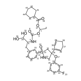 CC(OC(=O)NC(Cc1cccc([SH]2(=O)CC(Oc3cccc(F)c3)(C3=CCCC=C3)CN2)c1)C(O)O)OC(=O)C1CCCCC1